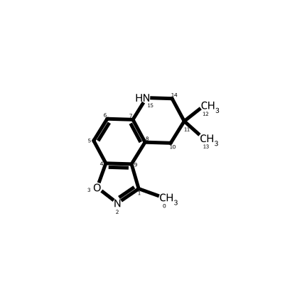 Cc1noc2ccc3c(c12)CC(C)(C)CN3